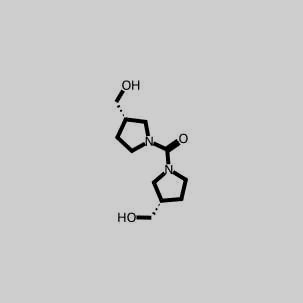 O=C(N1CC[C@H](CO)C1)N1CC[C@H](CO)C1